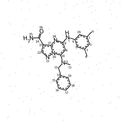 Cc1cc(C)cc(Nc2cc(N(C)Cc3ccccc3)n3ncc(C(N)=O)c3n2)c1